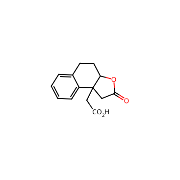 O=C(O)CC12CC(=O)OC1CCc1ccccc12